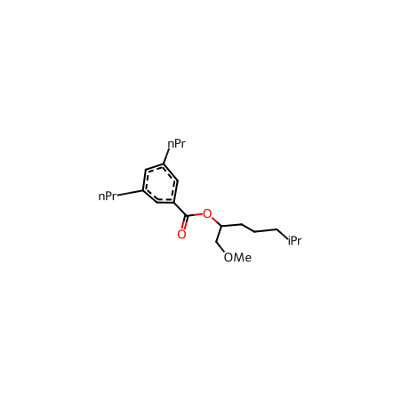 CCCc1cc(CCC)cc(C(=O)OC(CCCC(C)C)COC)c1